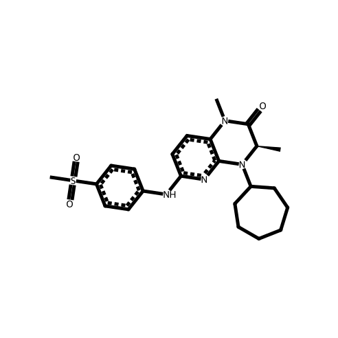 C[C@@H]1C(=O)N(C)c2ccc(Nc3ccc(S(C)(=O)=O)cc3)nc2N1C1CCCCCC1